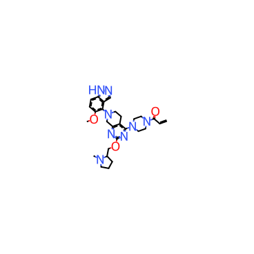 C=CC(=O)N1CCN(c2nc(OCC3CCCN3C)nc3c2CCN(c2c(OC)ccc4[nH]ncc24)C3)CC1